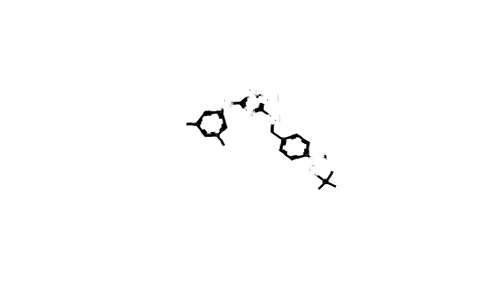 Cc1cc(C)cc(Nc2n[nH]c(NCc3ccc([S+]([O-])NC(C)(C)C)cc3)n2)c1